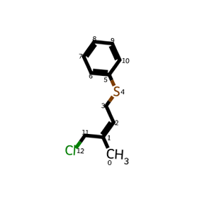 CC(=CCSc1ccccc1)CCl